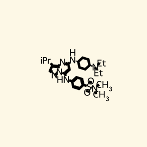 CCN(CC)[C@H]1CC[C@H](Nc2cc(Nc3ccc(S(=O)(=O)N(C)C)cc3)n3ncc(C(C)C)c3n2)CC1